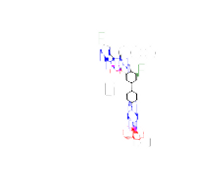 CC(C)(C)OC(=O)N1CCN(c2ccc(-c3cc(F)c4c(c3)C(=O)N(C(C(=O)[O-])c3ncn5c3C[C@@H](F)C5)C4)cc2)CC1.[Li+]